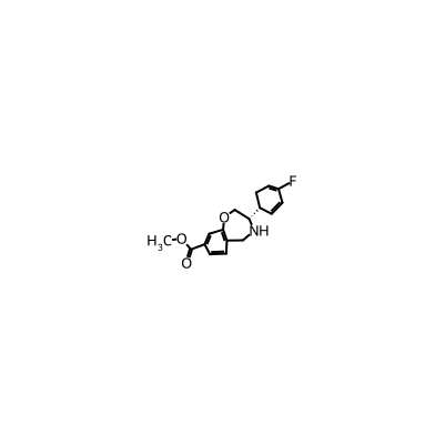 COC(=O)c1ccc2c(c1)OC[C@H](C1C=CC(F)=CC1)NC2